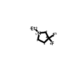 C[CH]N1CCC(F)(F)C1